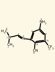 CN(C)/C=N/c1cc(N)cc(C(F)(F)F)c1C#N